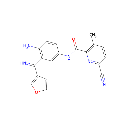 Cc1ccc(C#N)nc1C(=O)Nc1ccc(N)c(C(=N)c2ccoc2)c1